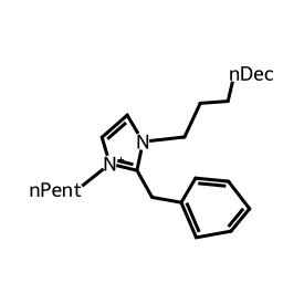 CCCCCCCCCCCCCn1cc[n+](CCCCC)c1Cc1ccccc1